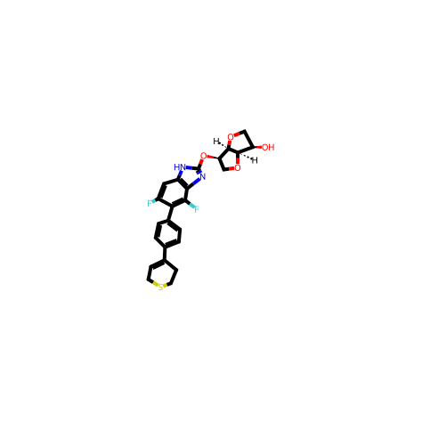 O[C@@H]1CO[C@H]2[C@@H]1OC[C@H]2Oc1nc2c(F)c(-c3ccc(C4=CCSCC4)cc3)c(F)cc2[nH]1